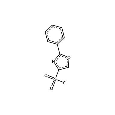 O=S(=O)(Cl)c1coc(-c2ccccc2)n1